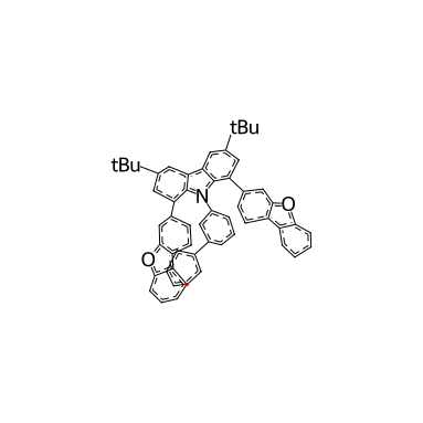 CC(C)(C)c1cc(-c2ccc3c(c2)oc2ccccc23)c2c(c1)c1cc(C(C)(C)C)cc(-c3ccc4c(c3)oc3ccccc34)c1n2-c1cccc(-c2ccccc2)c1